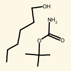 CC(C)(C)OC(N)=O.CCCCCCO